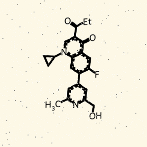 CCC(=O)c1cn(C2CC2)c2cc(-c3cc(C)nc(CO)c3)c(F)cc2c1=O